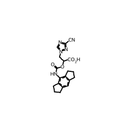 N#Cc1ncn(CC(OC(=O)Nc2c3c(cc4c2CCC4)CCC3)C(=O)O)n1